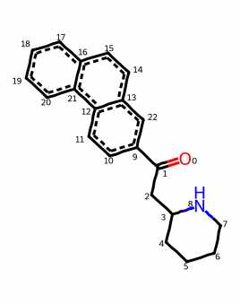 O=C(CC1CCCCN1)c1ccc2c(ccc3ccccc32)c1